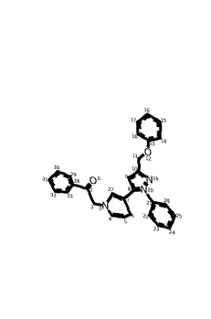 O=C(CN1C=CCC(c2cc(COc3ccccc3)nn2-c2ccccc2)=C1)c1ccccc1